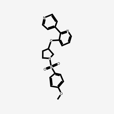 COc1ccc(S(=O)(=O)N2CCC(Oc3cccnc3-c3ccncc3)C2)cc1